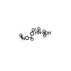 CC(CC(=O)NCCS(=O)(=O)O)Oc1ccc(C(=O)c2ccc(N=C=O)cc2)cc1